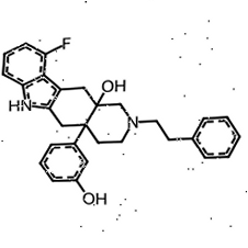 Oc1cccc(C23CCN(CCc4ccccc4)CC2(O)Cc2c([nH]c4cccc(F)c24)C3)c1